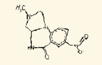 CN1CCN2c3ccc([N+](=O)[O-])cc3C(=O)NCC2C1